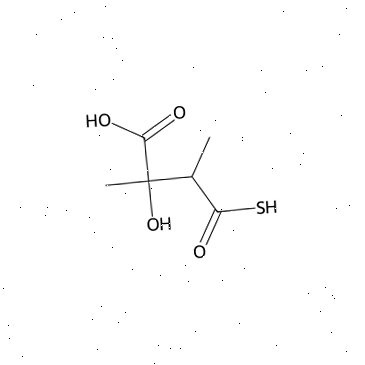 CC(C(=O)S)C(C)(O)C(=O)O